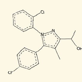 Cc1c(C(C)O)nn(-c2ccccc2Cl)c1-c1ccc(Cl)cc1